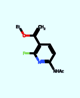 C=C(OCC)c1ccc(NC(C)=O)nc1F